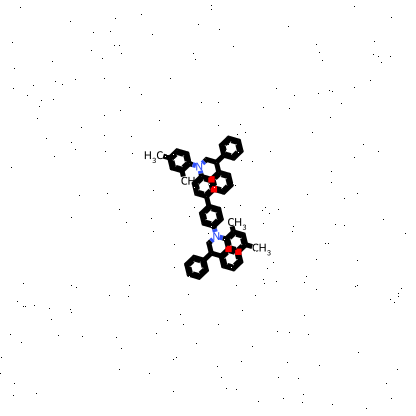 Cc1ccc(N(CC(c2ccccc2)c2ccccc2)c2ccc(-c3ccc(N(CC(c4ccccc4)c4ccccc4)c4ccc(C)cc4C)cc3)cc2)c(C)c1